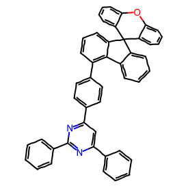 c1ccc(-c2cc(-c3ccc(-c4cccc5c4-c4ccccc4C54c5ccccc5Oc5ccccc54)cc3)nc(-c3ccccc3)n2)cc1